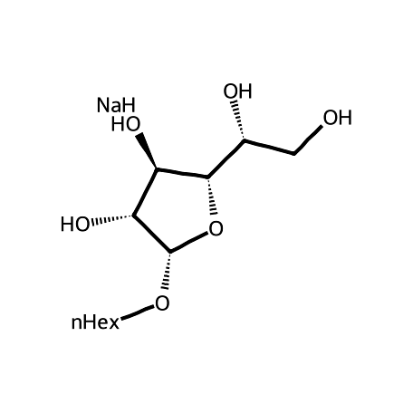 CCCCCCO[C@H]1O[C@@H]([C@H](O)CO)[C@H](O)[C@H]1O.[NaH]